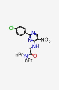 CCCN(CCC)C(=O)CNc1nc(-c2ccc(Cl)cc2)ncc1[N+](=O)[O-]